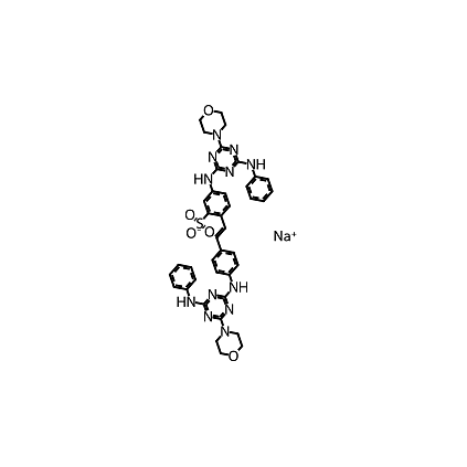 O=S(=O)([O-])c1cc(Nc2nc(Nc3ccccc3)nc(N3CCOCC3)n2)ccc1C=Cc1ccc(Nc2nc(Nc3ccccc3)nc(N3CCOCC3)n2)cc1.[Na+]